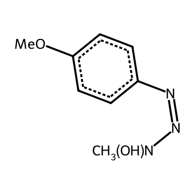 COc1ccc(/N=N\N(C)O)cc1